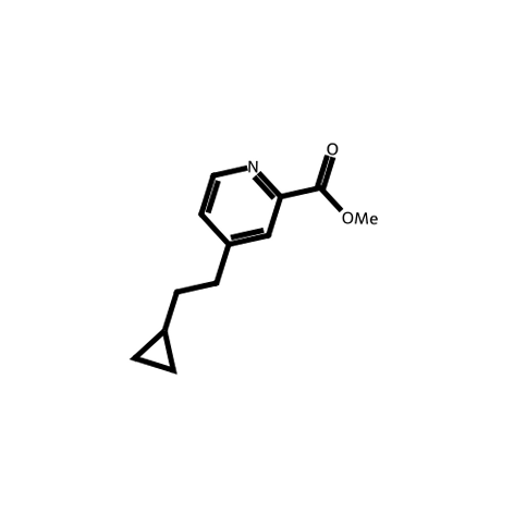 COC(=O)c1cc(CCC2CC2)ccn1